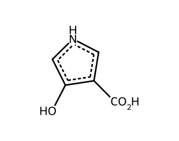 O=C(O)c1c[nH]cc1O